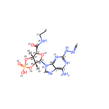 C=NNc1nc(N)c2ncn([C@@H]3O[C@H](C(=O)NCC)[C@H]4OP(=O)(O)O[C@H]43)c2n1